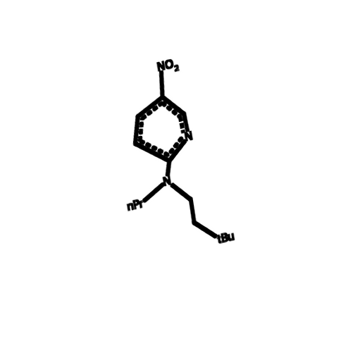 CCCN(CCC(C)(C)C)c1ccc([N+](=O)[O-])cn1